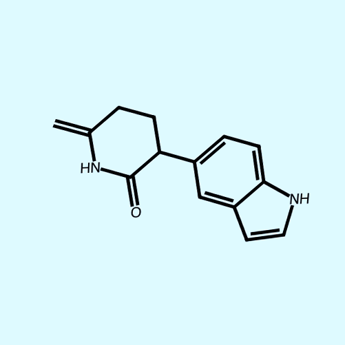 C=C1CCC(c2ccc3[nH]ccc3c2)C(=O)N1